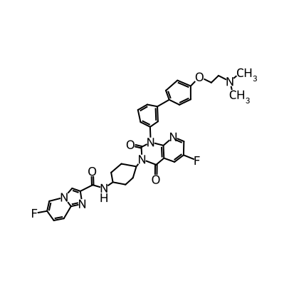 CN(C)CCOc1ccc(-c2cccc(-n3c(=O)n(C4CCC(NC(=O)c5cn6cc(F)ccc6n5)CC4)c(=O)c4cc(F)cnc43)c2)cc1